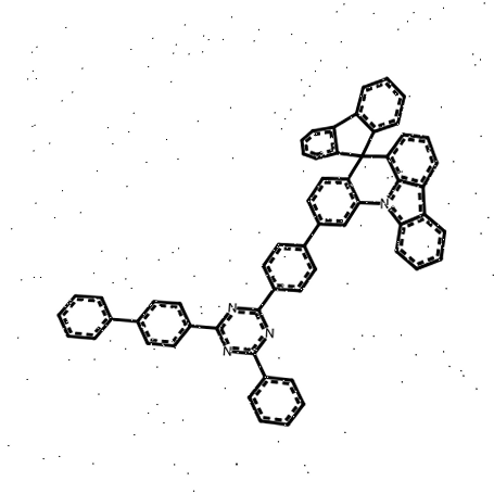 c1ccc(-c2ccc(-c3nc(-c4ccccc4)nc(-c4ccc(-c5ccc6c(c5)-n5c7ccccc7c7cccc(c75)C65c6ccccc6-c6ccccc65)cc4)n3)cc2)cc1